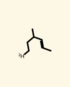 [2H]CCC(C)C=CC